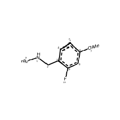 CCCCNCc1ccc(OC)cc1F